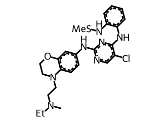 CCN(C)CCN1CCOc2cc(Nc3ncc(Cl)c(Nc4ccccc4NSC)n3)ccc21